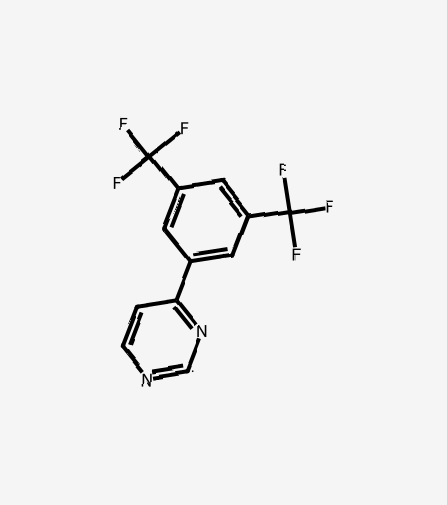 FC(F)(F)c1cc(-c2ccn[c]n2)cc(C(F)(F)F)c1